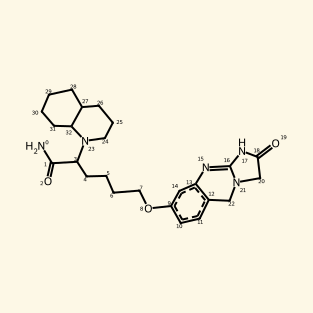 NC(=O)C(CCCCOc1ccc2c(c1)N=C1NC(=O)CN1C2)N1CCCC2CCCCC21